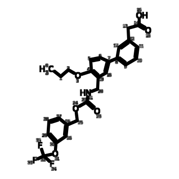 CCCOc1ccc(-c2cccc(CC(=O)O)c2)cc1CNC(=O)OCc1cccc(OC(F)(F)F)c1